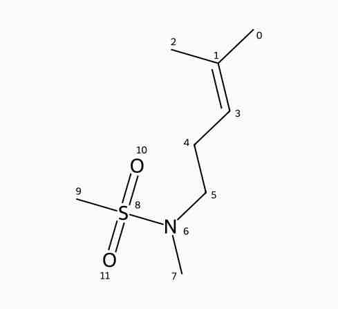 CC(C)=CCCN(C)S(C)(=O)=O